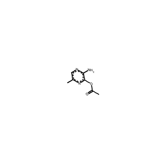 CC(=O)Oc1nc(C)cnc1N